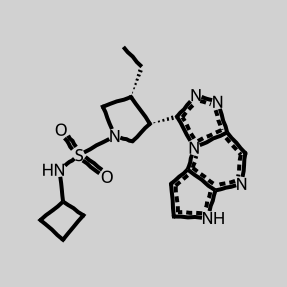 CC[C@H]1CN(S(=O)(=O)NC2CCC2)C[C@H]1c1nnc2cnc3[nH]ccc3n12